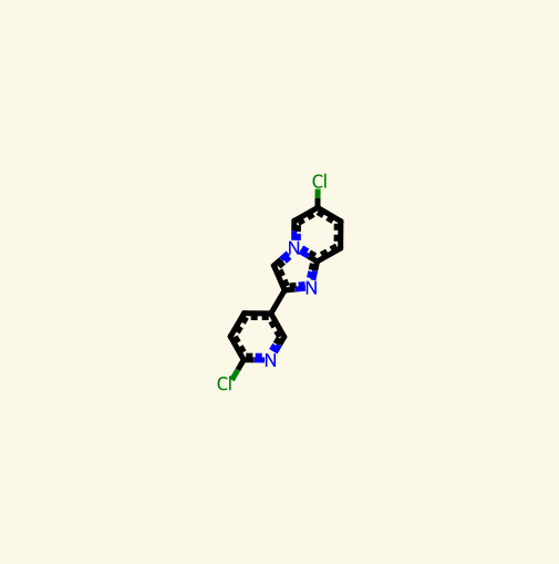 Clc1ccc2nc(-c3ccc(Cl)nc3)cn2c1